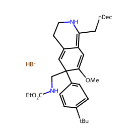 Br.CCCCCCCCCCCC1=C2C=C(OC)C(CNC(=O)OCC)(c3ccc(C(C)(C)C)cc3)C=C2CCN1